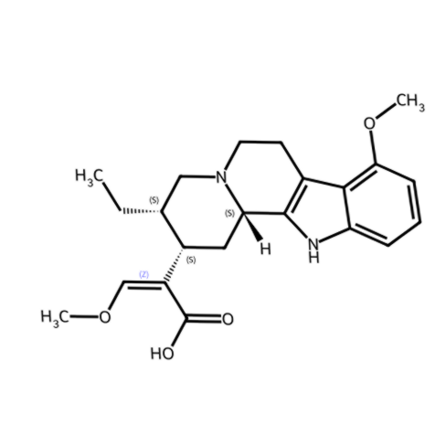 CC[C@@H]1CN2CCc3c([nH]c4cccc(OC)c34)[C@@H]2C[C@@H]1/C(=C/OC)C(=O)O